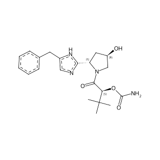 CC(C)(C)[C@H](OC(N)=O)C(=O)N1C[C@H](O)C[C@H]1c1ncc(Cc2ccccc2)[nH]1